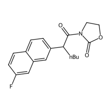 CCCCC(C(=O)N1CCOC1=O)c1ccc2ccc(F)cc2c1